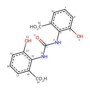 O=C(Nc1c(O)cccc1C(=O)O)Nc1c(O)cccc1C(=O)O